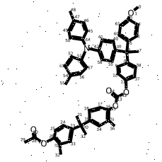 COc1ccc(C(C)(c2ccc(OC(=O)Oc3ccc(C(C)(C)c4ccc(OC(C)=O)c(C)c4)cc3C)cc2)c2ccc(N(c3ccc(C)cc3)c3ccc(C)cc3)cc2)cc1